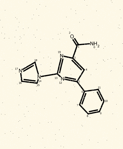 NC(=O)c1cc(-c2ccccc2)nc(-n2ccnc2)n1